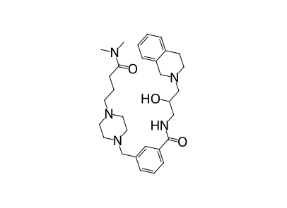 CN(C)C(=O)CCCN1CCN(Cc2cccc(C(=O)NCC(O)CN3CCc4ccccc4C3)c2)CC1